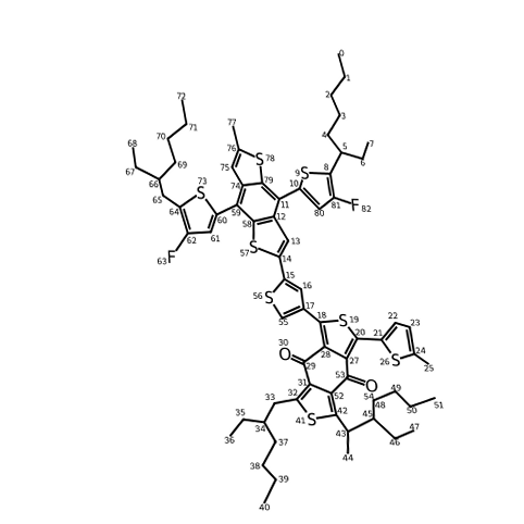 CCCCCC(CC)c1sc(-c2c3cc(-c4cc(-c5sc(-c6ccc(C)s6)c6c5C(=O)c5c(CC(CC)CCCC)sc(C(C)C(CC)CCCC)c5C6=O)cs4)sc3c(-c3cc(F)c(CC(CC)CCCC)s3)c3cc(C)sc23)cc1F